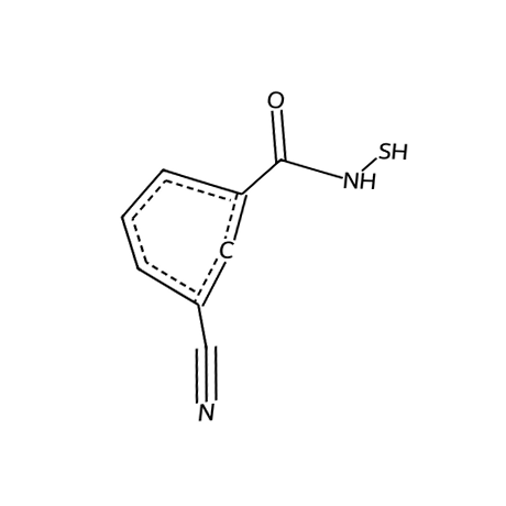 N#Cc1cccc(C(=O)NS)c1